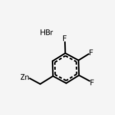 Br.Fc1cc([CH2][Zn])cc(F)c1F